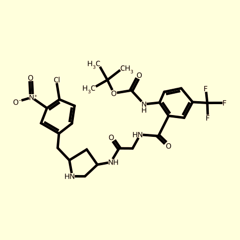 CC(C)(C)OC(=O)Nc1ccc(C(F)(F)F)cc1C(=O)NCC(=O)NC1CNC(Cc2ccc(Cl)c([N+](=O)[O-])c2)C1